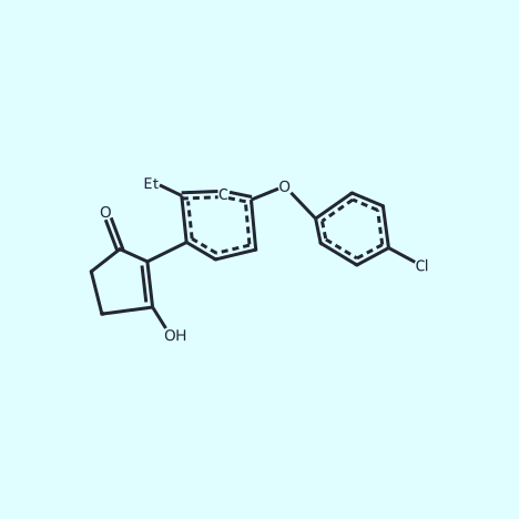 CCc1cc(Oc2ccc(Cl)cc2)ccc1C1=C(O)CCC1=O